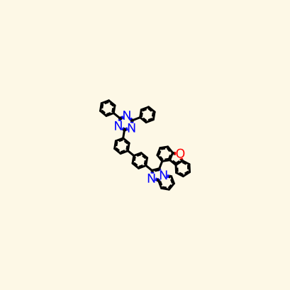 c1ccc(-c2nc(-c3ccccc3)nc(-c3cccc(-c4ccc(-c5nc6ccccn6c5-c5cccc6oc7ccccc7c56)cc4)c3)n2)cc1